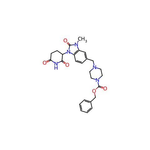 Cn1c(=O)n(C2CCC(=O)NC2=O)c2ccc(CN3CCN(C(=O)OCc4ccccc4)CC3)cc21